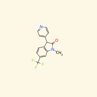 CN1C(=O)C(c2ccncc2)c2ccc(C(F)(F)F)cc21